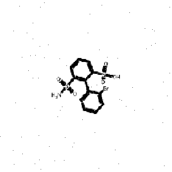 NS(=O)(=O)c1cccc(S(=O)(=O)O)c1-c1ccccc1Br